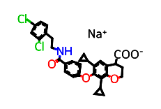 O=C(NCCc1ccc(Cl)cc1Cl)c1ccc(Oc2c(C3CC3)cc3c(c2C2CC2)OCCC3C(=O)[O-])cc1.[Na+]